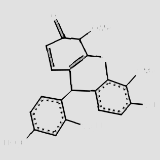 COc1c(O)ccc2c1OC1=C(C=CC(=O)C1OC)C2c1ccc(C(=O)O)cc1C(=O)O